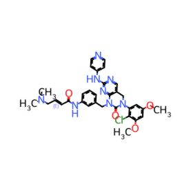 COc1cc(OC)c(Cl)c(N2Cc3cnc(Nc4ccncc4)nc3N(Cc3cccc(NC(=O)/C=C/CN(C)C)c3)C2=O)c1